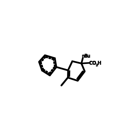 CCCCC1(C(=O)O)C=CC(C)=C(c2ccccc2)C1